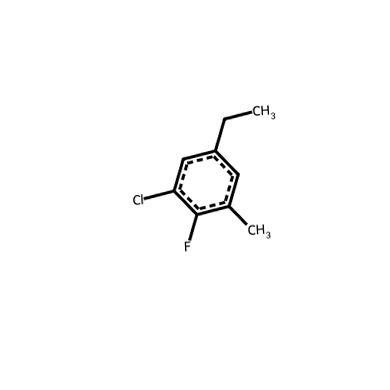 CCc1cc(C)c(F)c(Cl)c1